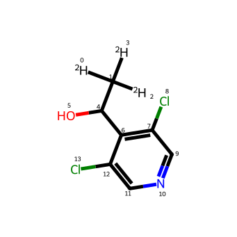 [2H]C([2H])([2H])C(O)c1c(Cl)cncc1Cl